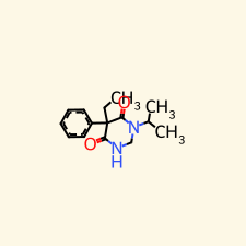 CCC1(c2ccccc2)C(=O)NCN(C(C)C)C1=O